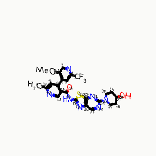 COc1cnc(C(F)(F)F)cc1-c1cc(C)ncc1C(=O)Nc1nc2cnc(N3CCC(O)CC3)nc2s1